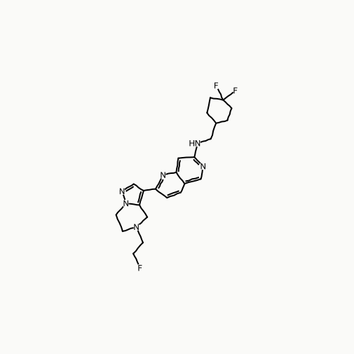 FCCN1CCn2ncc(-c3ccc4cnc(NCC5CCC(F)(F)CC5)cc4n3)c2C1